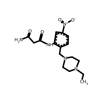 CCN1CCN(Cc2ccc([N+](=O)[O-])cc2NC(=O)CC(N)=O)CC1